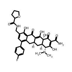 CN(C)[C@H]1C(O)=C(C(N)=O)C(=O)[C@]2(O)C(O)=C3C(=O)c4c(O)c(CNC(=O)C5CCCO5)cc(-c5ccc(F)cc5)c4C[C@@H]3C[C@H]12